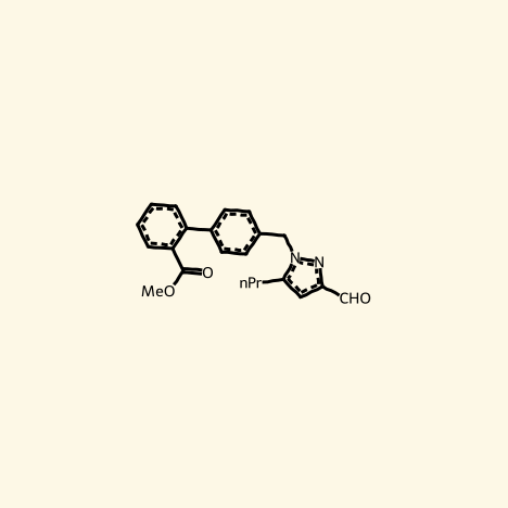 CCCc1cc(C=O)nn1Cc1ccc(-c2ccccc2C(=O)OC)cc1